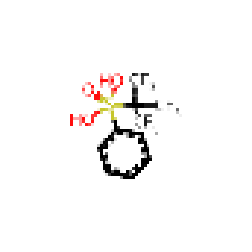 O=S(O)(O)(c1ccccc1)C(C(F)(F)F)(C(F)(F)F)C(F)(F)F